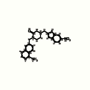 Nc1ncnc2cc(CN3CCN(Cc4cc5ccc([N+](=O)[O-])cc5s4)CC3=O)ccc12